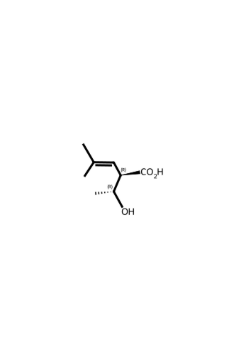 CC(C)=C[C@@H](C(=O)O)[C@@H](C)O